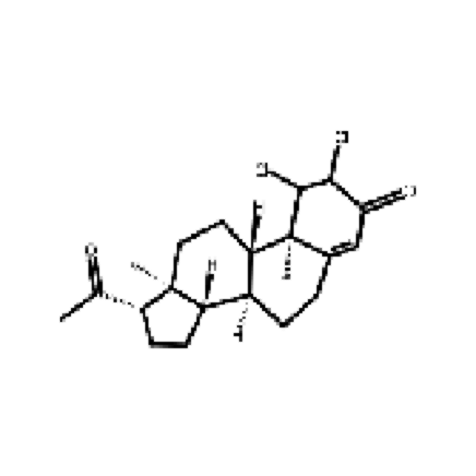 CC(=O)[C@H]1CC[C@H]2[C@@H]3CCC4=CC(=O)C(Cl)C(Cl)[C@]4(C)[C@H]3CC[C@]12C